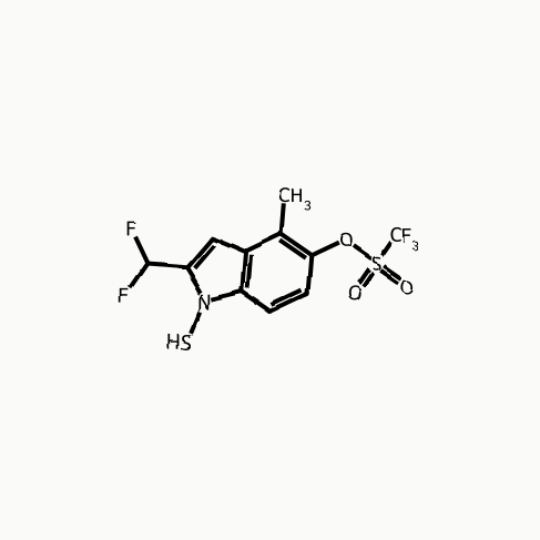 Cc1c(OS(=O)(=O)C(F)(F)F)ccc2c1cc(C(F)F)n2S